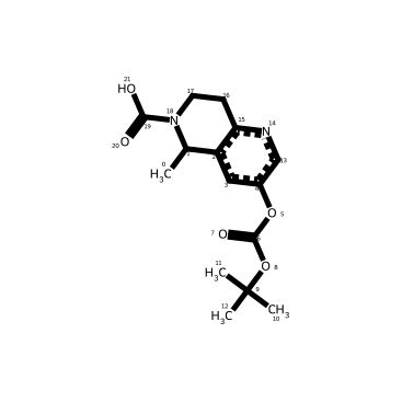 CC1c2cc(OC(=O)OC(C)(C)C)cnc2CCN1C(=O)O